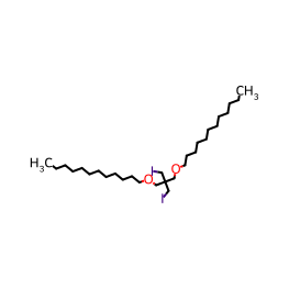 CCCCCCCCCCCCOCC(CI)(CI)COCCCCCCCCCCCC